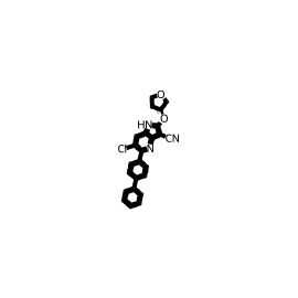 N#Cc1c(O[C@H]2CCOC2)[nH]c2cc(Cl)c(-c3ccc(-c4ccccc4)cc3)nc12